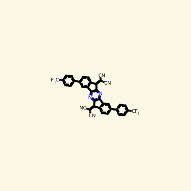 N#CC(C#N)=C1c2ccc(-c3ccc(C(F)(F)F)cc3)cc2-c2nc3c(nc21)-c1cc(-c2ccc(C(F)(F)F)cc2)ccc1C3=C(C#N)C#N